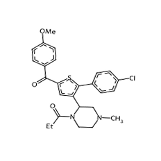 CCC(=O)N1CCN(C)CC1c1cc(C(=O)c2ccc(OC)cc2)sc1-c1ccc(Cl)cc1